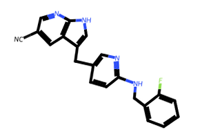 N#Cc1cnc2[nH]cc(Cc3ccc(NCc4ccccc4F)nc3)c2c1